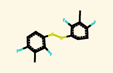 Cc1c(F)ccc(SSc2ccc(F)c(C)c2F)c1F